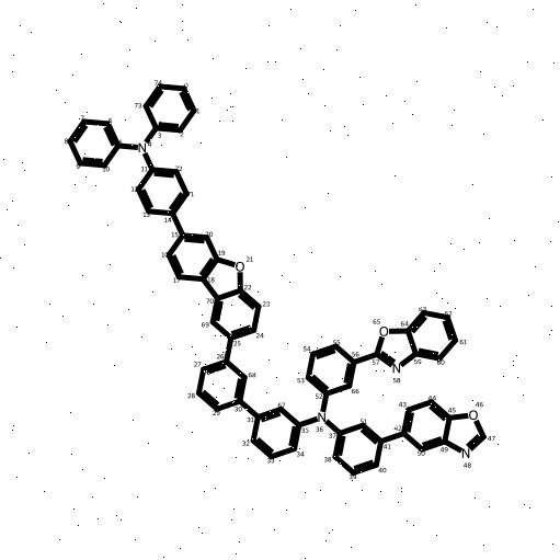 c1ccc(N(c2ccccc2)c2ccc(-c3ccc4c(c3)oc3ccc(-c5cccc(-c6cccc(N(c7cccc(-c8ccc9ocnc9c8)c7)c7cccc(-c8nc9ccccc9o8)c7)c6)c5)cc34)cc2)cc1